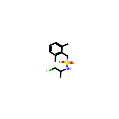 Cc1cccc(C)c1CS(=O)(=O)NC(C)CCl